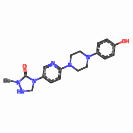 CCC(C)N1NCN(c2ccc(N3CCN(c4ccc(O)cc4)CC3)nc2)C1=O